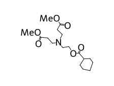 COC(=O)CCN(CCOC(=O)C1CCCCC1)CCC(=O)OC